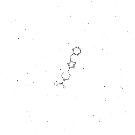 O=C(N1CCC(c2nc(Cc3ccccc3)no2)CC1)C(F)(F)F